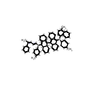 CC1=CCC(N(C2=c3ccccc3=C(C3=c4ccccc4=C(N(/C=C/C=C(/C)c4ccccc4)c4ccc(C)cc4)C4C=CC=CC34)C3C=CC=CC23)c2ccc(C)c3ccccc23)C=C1